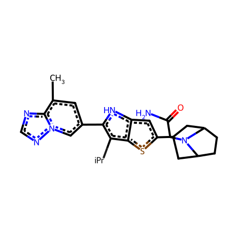 Cc1cc(-c2[nH]c3cc(C4CC5CCC(C4)N5CC(N)=O)sc3c2C(C)C)cn2ncnc12